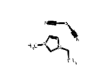 CCN1C=CN(C)C1.N#CSC#N